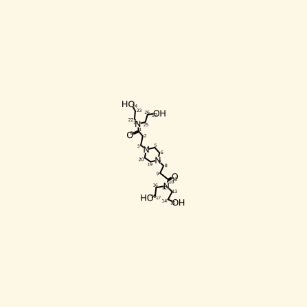 O=C(CCN1CCN(CCC(=O)N(CCO)CCO)CC1)N(CCO)CCO